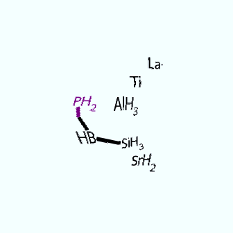 [AlH3].[La].[SiH3]BP.[SrH2].[Ti]